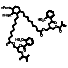 C=C(C)C(=O)OCC(COC(=O)CCCCCCCCC1CCC(CCCCC)C(CCCCCCC)C1CCCCCCCCC(=O)OCC(COC(=O)C(=C)C)OC(=O)c1ccccc1C(=O)O)OC(=O)c1ccccc1C(=O)O